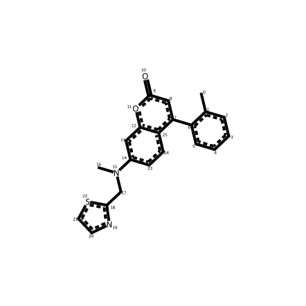 Cc1ccccc1-c1cc(=O)oc2cc(N(C)Cc3nccs3)ccc12